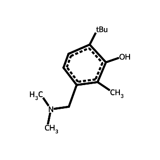 Cc1c(CN(C)C)ccc(C(C)(C)C)c1O